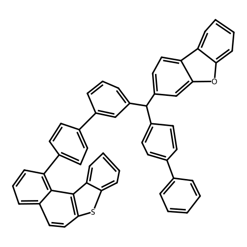 c1ccc(-c2ccc(C(c3cccc(-c4ccc(-c5cccc6ccc7sc8ccccc8c7c56)cc4)c3)c3ccc4c(c3)oc3ccccc34)cc2)cc1